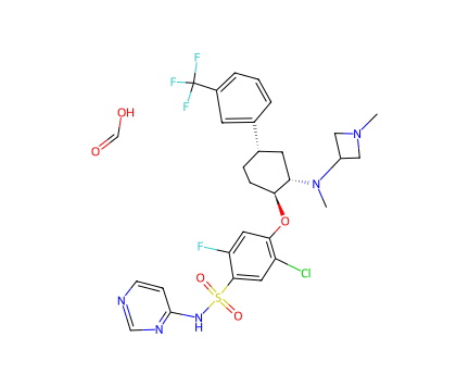 CN1CC(N(C)[C@H]2C[C@@H](c3cccc(C(F)(F)F)c3)CC[C@@H]2Oc2cc(F)c(S(=O)(=O)Nc3ccncn3)cc2Cl)C1.O=CO